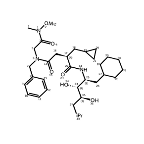 CON(C)C(=O)CN(Cc1ccccc1)C(=O)C[C@@H](CC1CC1)C(=O)N[C@@H](CC1CCCCC1)[C@@H](O)[C@@H](O)CC(C)C